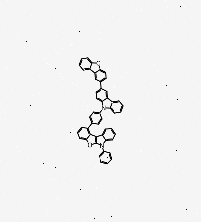 c1ccc(-n2c3ccccc3c3c4c(-c5ccc(-n6c7ccccc7c7cc(-c8ccc9oc%10ccccc%10c9c8)ccc76)cc5)cccc4oc32)cc1